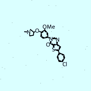 COc1cc(-n2cnc3cc(-c4ccc(Cl)cc4)sc3c2=O)ccc1OC1CCN(C)C1